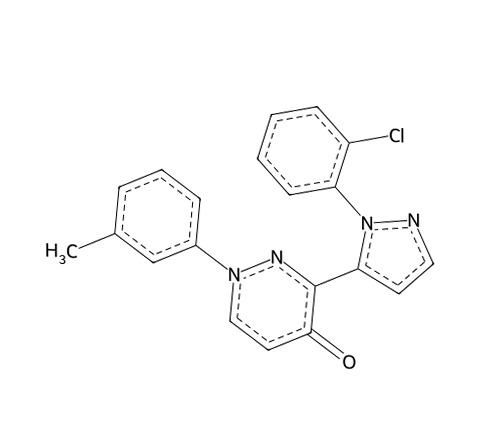 Cc1cccc(-n2ccc(=O)c(-c3ccnn3-c3ccccc3Cl)n2)c1